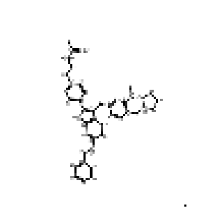 COc1cc(Cc2c(-c3ccc(CCNC(C)=O)cc3)sc3cc(OCc4ccccc4)ccc23)ccc1CN1CCCC1